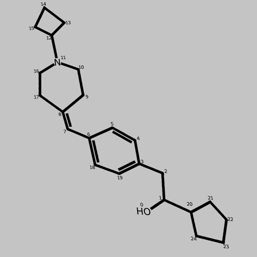 OC(Cc1ccc(C=C2CCN(C3CCC3)CC2)cc1)C1CCCC1